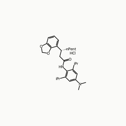 CCCCC[C@H](CC(=O)Nc1c(C(C)C)cc(N(C)C)cc1C(C)C)c1cccc2c1OCO2.Cl